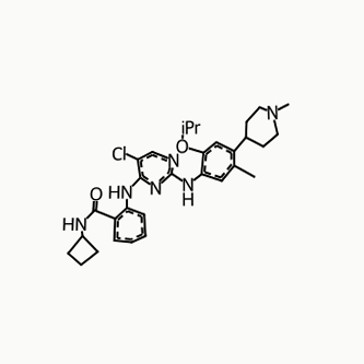 Cc1cc(Nc2ncc(Cl)c(Nc3ccccc3C(=O)NC3CCC3)n2)c(OC(C)C)cc1C1CCN(C)CC1